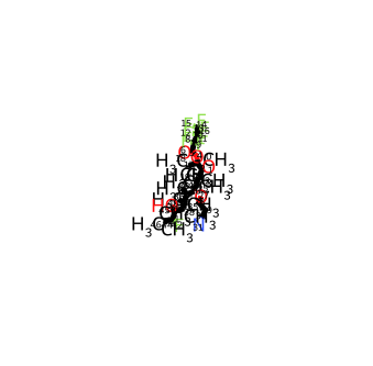 COC(C(OC(=O)C(F)(F)C(F)(F)C(F)(F)F)C(C)C)C(C)(C)C(C)(C)C(OCCC#N)C(C)C(C)(C)C(C)C(O)C(F)C(C)(C)C